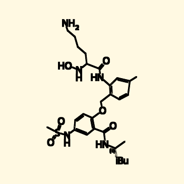 CCC(C)[C@@H](C)NC(=O)c1cc(NS(C)(=O)=O)ccc1OCc1ccc(C)cc1NC(=O)C(CCCCN)NO